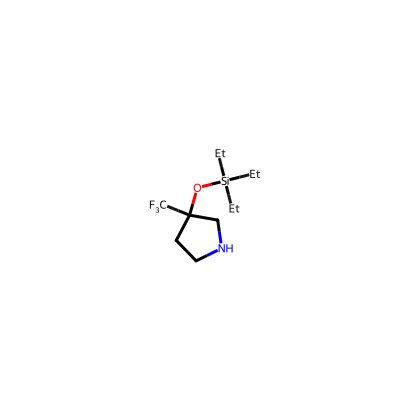 CC[Si](CC)(CC)OC1(C(F)(F)F)CCNC1